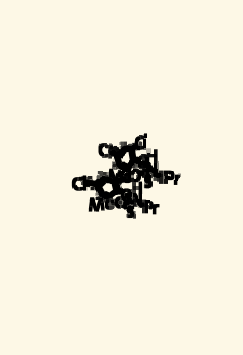 COP(=S)(NC(C)C)Oc1ccc(Cl)cc1Cl.COP(=S)(NC(C)C)Oc1ccc(Cl)cc1Cl